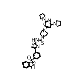 O=S(=O)(c1cccc(-c2csc(NC(=S)N3CCN(c4cc(N5CCCC5)nc(N5CCCC5)n4)CC3)n2)c1)c1ccccc1Cl